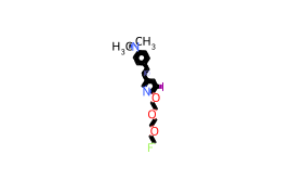 CN(C)c1ccc(/C=C/c2cnc(OCCOCCOCCF)c(I)c2)cc1